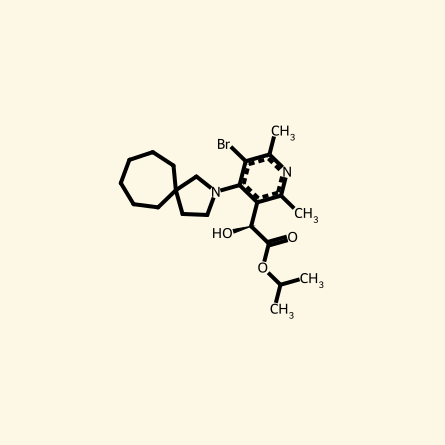 Cc1nc(C)c([C@H](O)C(=O)OC(C)C)c(N2CCC3(CCCCCC3)C2)c1Br